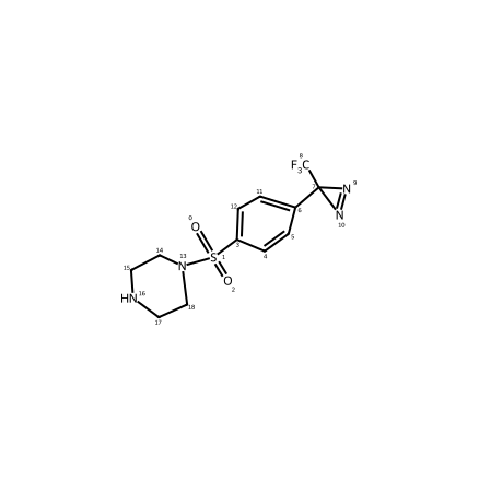 O=S(=O)(c1ccc(C2(C(F)(F)F)N=N2)cc1)N1CCNCC1